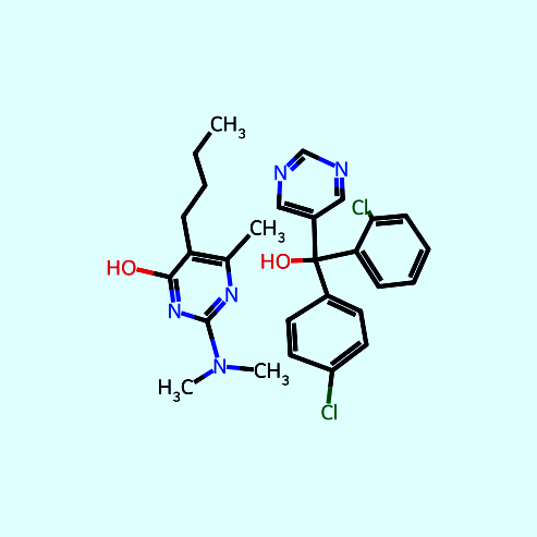 CCCCc1c(C)nc(N(C)C)nc1O.OC(c1ccc(Cl)cc1)(c1cncnc1)c1ccccc1Cl